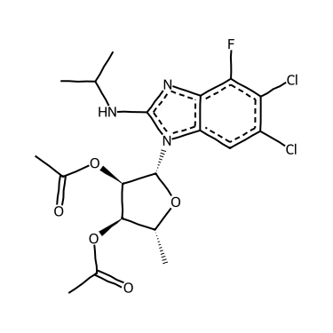 CC(=O)O[C@@H]1[C@H](OC(C)=O)[C@@H](C)O[C@H]1n1c(NC(C)C)nc2c(F)c(Cl)c(Cl)cc21